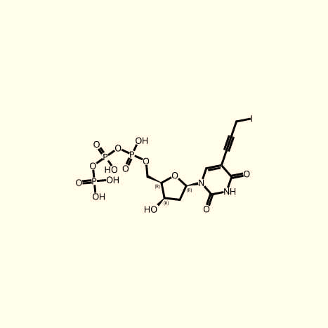 O=c1[nH]c(=O)n([C@H]2C[C@@H](O)[C@@H](COP(=O)(O)OP(=O)(O)OP(=O)(O)O)O2)cc1C#CCI